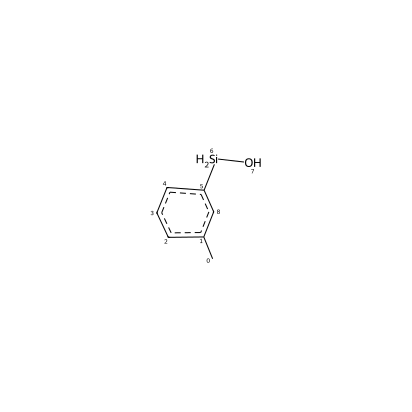 Cc1cccc([SiH2]O)c1